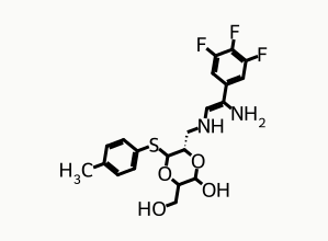 Cc1ccc(SC2OC(CO)C(O)O[C@H]2CN/C=C(\N)c2cc(F)c(F)c(F)c2)cc1